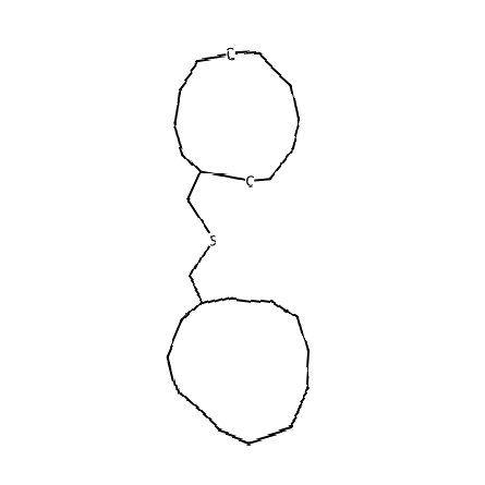 C1CCCCCC(CSCC2CCCCCCCCCCC2)CCCCC1